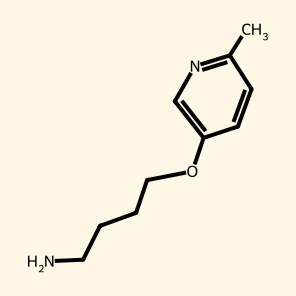 Cc1ccc(OCCCCN)cn1